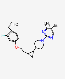 CCc1cnc(N2CCC(C3CC3CCOc3ccc(CC=O)c(F)c3)CC2)nc1C